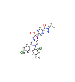 N#Cc1ccc(N2CCN(C[C@](O)(I)c3cnc(C(=O)NC4CC4)cn3)C[C@H]2c2ccc(Cl)cc2)c(Cl)c1